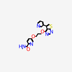 CNC(=O)c1ccc(OCCCOc2ncnc3scc(-c4cccnc4)c23)cn1